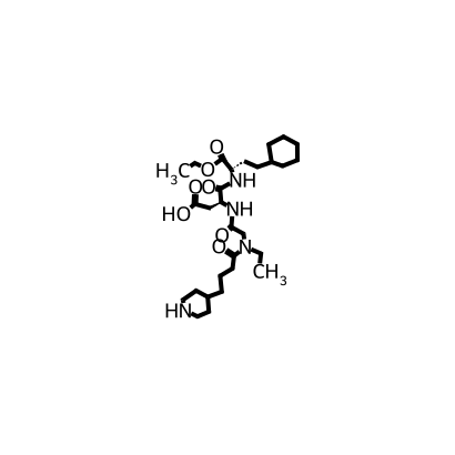 CCOC(=O)[C@H](CCC1CCCCC1)NC(=O)[C@H](CC(=O)O)NC(=O)CN(CC)C(=O)CCCC1CCNCC1